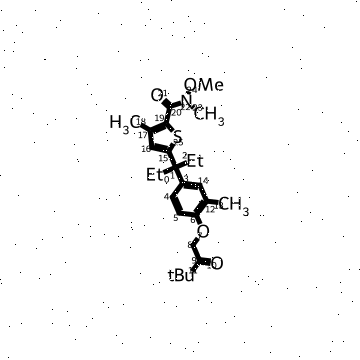 CCC(CC)(c1ccc(OCC(=O)C(C)(C)C)c(C)c1)c1cc(C)c(C(=O)N(C)OC)s1